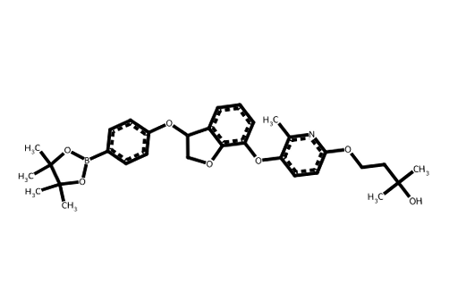 Cc1nc(OCCC(C)(C)O)ccc1Oc1cccc2c1OCC2Oc1ccc(B2OC(C)(C)C(C)(C)O2)cc1